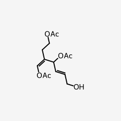 CC(=O)OC=C(CCOC(C)=O)C(C=CCO)OC(C)=O